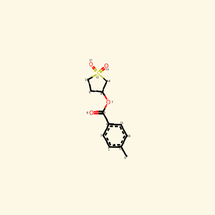 Cc1ccc(C(=O)OC2CCS(=O)(=O)C2)cc1